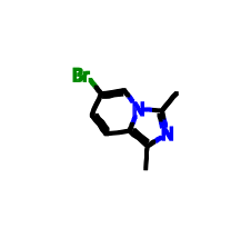 Cc1nc(C)n2cc(Br)ccc12